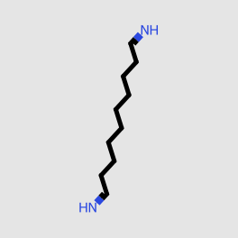 N=CCCCCCCCCC=N